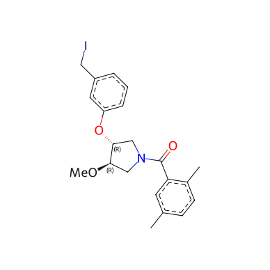 CO[C@@H]1CN(C(=O)c2cc(C)ccc2C)C[C@H]1Oc1cccc(CI)c1